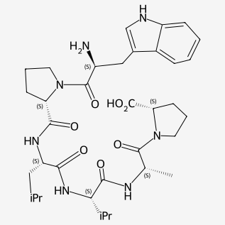 CC(C)C[C@H](NC(=O)[C@@H]1CCCN1C(=O)[C@@H](N)Cc1c[nH]c2ccccc12)C(=O)N[C@H](C(=O)N[C@@H](C)C(=O)N1CCC[C@H]1C(=O)O)C(C)C